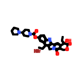 Br.CCc1c2c(nc3ccc(OC(=O)N4CCC(N5CCCCC5)CC4)cc13)-c1cc3c(c(=O)n1C2)COC(=O)[C@]3(O)CC